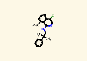 COc1cccc2c(Cl)cnc(NCC(C)(C)c3ccccc3)c12